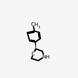 Cc1ccc([C@@H]2CCCNC2)cc1